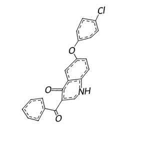 O=C(c1ccccc1)c1c[nH]c2ccc(Oc3ccc(Cl)cc3)cc2c1=O